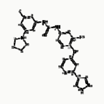 Cc1cc(NC(=O)Nc2ccc(Oc3ccnc(-c4cn[nH]c4)c3)c(F)c2)cc(N2CCCC2)c1